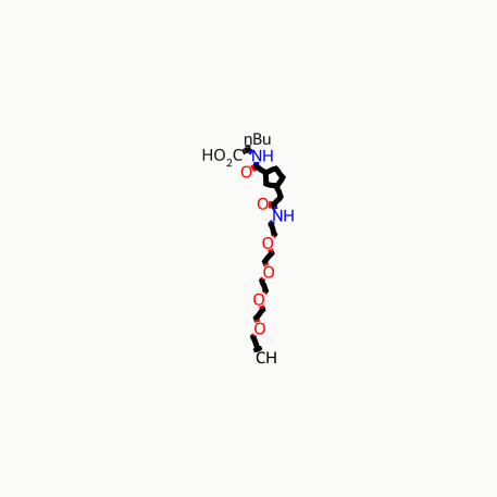 C#CCOCCOCCOCCOCCNC(=O)CC1CCC(C(=O)NC(CCCC)C(=O)O)C1